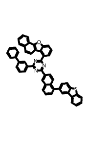 c1ccc(-c2cccc(-c3nc(-c4ccc5c(-c6ccc7sc8ccccc8c7c6)cccc5c4)nc(-c4cccc5oc6c7ccccc7ccc6c45)n3)c2)cc1